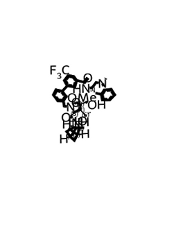 COc1c(CN2O[C@@H](CO)[C@@H]([C@H](C)O)[C@H]2C(=O)N[C@H]2C[C@H]3C[C@@H]([C@@H]2C)C3(C)C)cccc1-c1cc(C(=O)N[C@@H](Cc2ccccc2)CN(C)C)cc(C(F)(F)F)c1